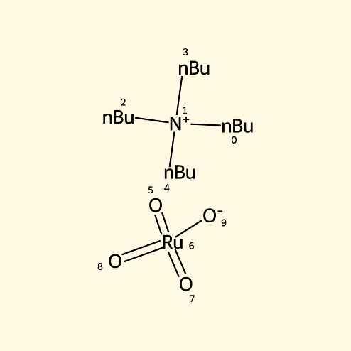 CCCC[N+](CCCC)(CCCC)CCCC.[O]=[Ru](=[O])(=[O])[O-]